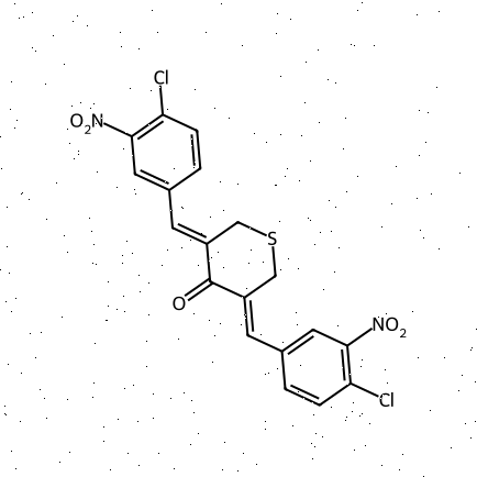 O=C1/C(=C/c2ccc(Cl)c([N+](=O)[O-])c2)CSC/C1=C\c1ccc(Cl)c([N+](=O)[O-])c1